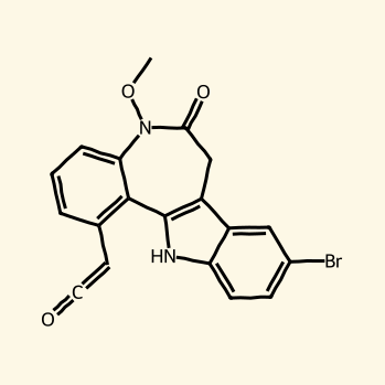 CON1C(=O)Cc2c([nH]c3ccc(Br)cc23)-c2c(C=C=O)cccc21